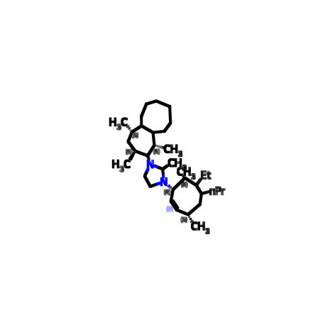 CCCC1C[C@H](C)/C=C\[C@H](N2CCN(C3[C@@H](C)C4CCCCCCC4[C@@H](C)C[C@@H]3C)C2C)[C@H](C)C1CC